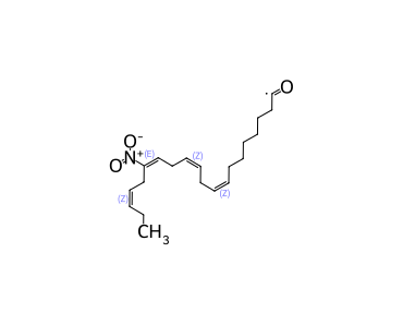 CC/C=C\C/C(=C\C/C=C\C/C=C\CCCCCC[C]=O)[N+](=O)[O-]